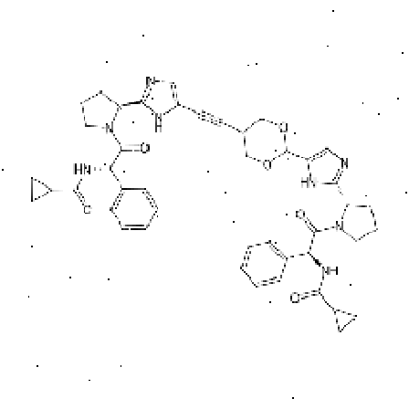 O=C(N[C@H](C(=O)N1CCC[C@H]1c1ncc(C#CC2COC(c3cnc([C@@H]4CCCN4C(=O)[C@@H](NC(=O)C4CC4)c4ccccc4)[nH]3)OC2)[nH]1)c1ccccc1)C1CC1